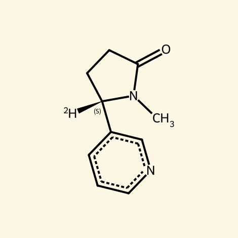 [2H][C@@]1(c2cccnc2)CCC(=O)N1C